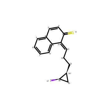 S=C1C=Cc2ccccc2/C1=C\CC[C@H]1C[C@H]1I